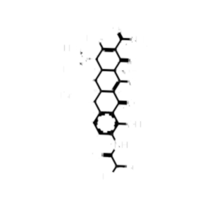 Br.CCC(Br)C(=O)Nc1ccc2c(c1O)C(=O)C1=C(O)[C@]3(O)C(=O)C(C(N)=O)=C(O)[C@@H](N(C)C)C3CC1C2